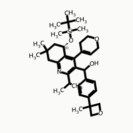 CC(C)c1nc2c(c(C3=CCOCC3)c1C(O)c1ccc(C3(C)COC3)cc1)[C@@H](O[Si](C)(C)C(C)(C)C)CC(C)(C)C2